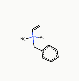 C=C[N+](C#N)(Cc1ccccc1)C(C)=O